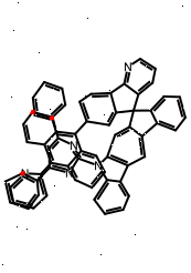 c1ccc(-c2cc(-c3ccccc3)nc(-n3c4ccccc4c4cc5c(cc43)C3(c4ccccc4-5)c4cc(-c5c6ccccc6c(-c6ccccn6)c6ccccc56)ccc4-c4ncccc43)n2)cc1